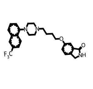 O=C1NCc2ccc(OCCCCN3CCN(c4cccc5cc(C(F)(F)F)ccc45)CC3)cc21